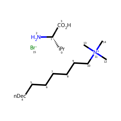 CC(C)[C@H](N)C(=O)O.CCCCCCCCCCCCCCCC[N+](C)(C)C.[Br-]